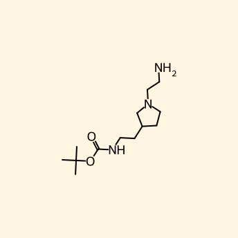 CC(C)(C)OC(=O)NCCC1CCN(CCN)C1